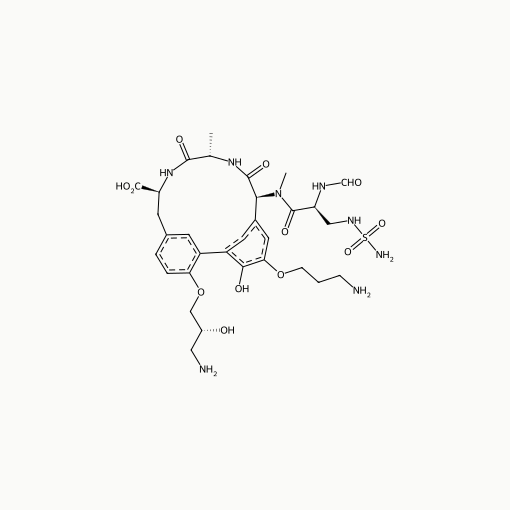 C[C@@H]1NC(=O)[C@@H](N(C)C(=O)[C@H](CNS(N)(=O)=O)NC=O)c2cc(OCCCN)c(O)c(c2)-c2cc(ccc2OC[C@H](O)CN)C[C@@H](C(=O)O)NC1=O